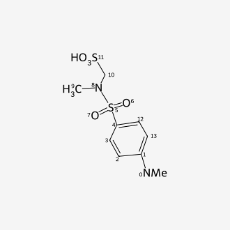 CNc1ccc(S(=O)(=O)N(C)CS(=O)(=O)O)cc1